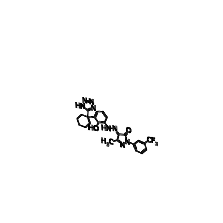 CC1=NN(c2cccc(C(F)(F)F)c2)C(=O)/C1=N/Nc1cccc(C2(c3nnn[nH]3)CCCCC2)c1O